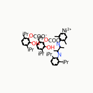 CC(=Nc1c(C)cccc1C)C(C)=Nc1c(C(C)C)cccc1C(C)C.CC(C)c1ccc(C(C)C)c(OC(=O)[O-])c1O.CC(C)c1ccc(C(C)C)c(OC(=O)[O-])c1O.[Ni+2]